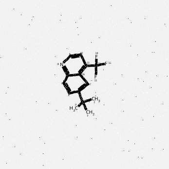 CC(C)(C)c1ccc2nccc(C(F)(F)F)c2c1